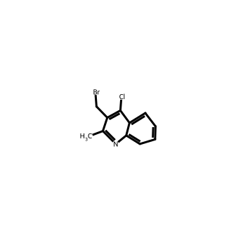 Cc1nc2ccccc2c(Cl)c1CBr